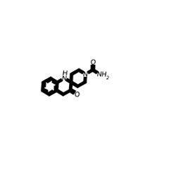 NC(=O)N1CCC2(CC1)Nc1ccccc1CC2=O